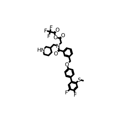 CSc1cc(F)c(F)cc1-c1ccc(OCc2cccc(C(=O)N(CC(=O)OC(=O)C(F)(F)F)CC3CCCNC3)c2)cc1